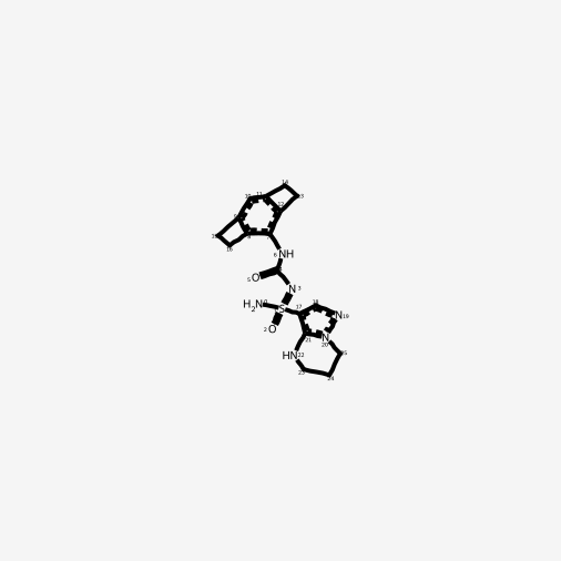 NS(=O)(=NC(=O)Nc1c2c(cc3c1CC3)CC2)c1cnn2c1NCCC2